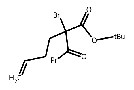 C=CCCC(Br)(C(=O)OC(C)(C)C)C(=O)C(C)C